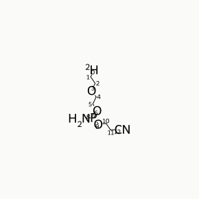 [2H]CCOCCOP(N)OCCC#N